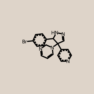 Brc1ccc(C2NN=CC2(c2ccncc2)N2C=CC=NC2)cc1